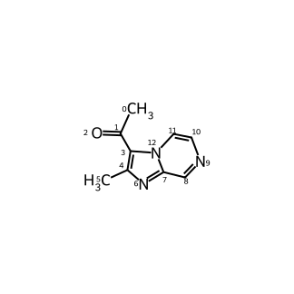 CC(=O)c1c(C)nc2cnccn12